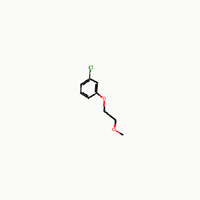 COCCOc1[c]ccc(Cl)c1